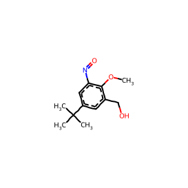 COc1c(CO)cc(C(C)(C)C)cc1N=O